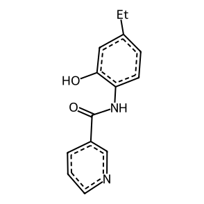 CCc1ccc(NC(=O)c2cccnc2)c(O)c1